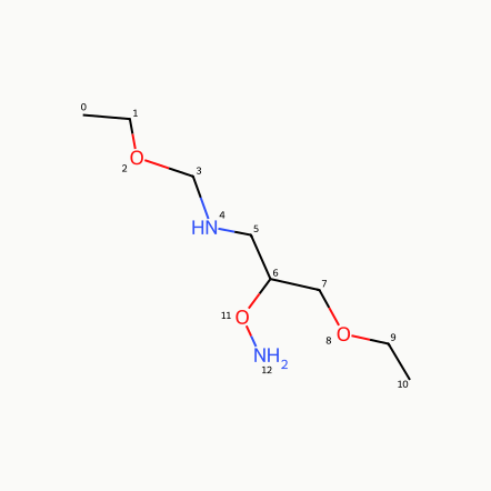 CCOCNCC(COCC)ON